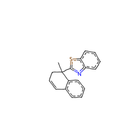 CC1(c2nc3ccccc3s2)CC=Cc2ccccc21